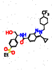 CCS(=O)(=O)c1ccc(C(CO)NC(=O)c2ccc3c(C4CC4)n(CC4CCC(C(F)(F)F)CC4)nc3c2)cc1